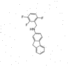 Fc1ccc(F)c(CNc2ccc3c(c2)Cc2ccccc2-3)c1F